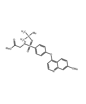 COC(=O)CNS(=O)(=N[Si](C)(C)C(C)(C)C)c1ccc(Oc2ccnc3cc(OC)ccc23)cc1